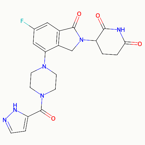 O=C1CCC(N2Cc3c(cc(F)cc3N3CCN(C(=O)c4ccn[nH]4)CC3)C2=O)C(=O)N1